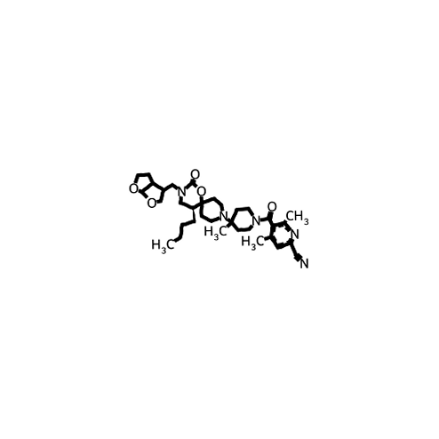 CCCC[C@H]1CN(CC2COC3OCCC23)C(=O)OC12CCN(C1(C)CCN(C(=O)c3c(C)cc(C#N)nc3C)CC1)CC2